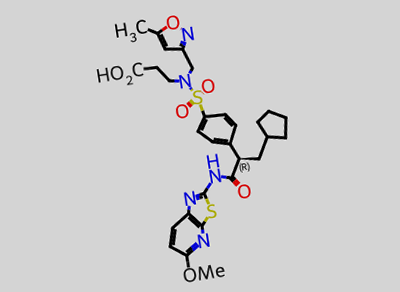 COc1ccc2nc(NC(=O)[C@H](CC3CCCC3)c3ccc(S(=O)(=O)N(CCC(=O)O)Cc4cc(C)on4)cc3)sc2n1